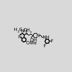 COc1ccc2ncc(N(C)C)c([C@H](F)CCC3(CO)CCN(CCNc4cc(F)cc(F)c4)CC3)c2c1